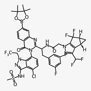 CC1(C)OB(c2ccc3c(=O)n(-c4ccc(Cl)c5c(NS(C)(=O)=O)nn(CC(F)(F)F)c45)c(C(Cc4cc(F)cc(F)c4)NC(=O)Cn4nc(C(F)F)c5c4C(F)(F)[C@@H]4C[C@H]54)nc3c2)OC1(C)C